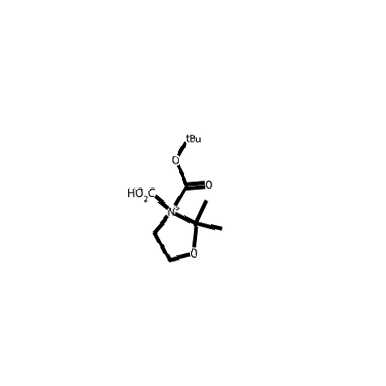 CC(C)(C)OC(=O)[N+]1(C(=O)O)CCOC1(C)C